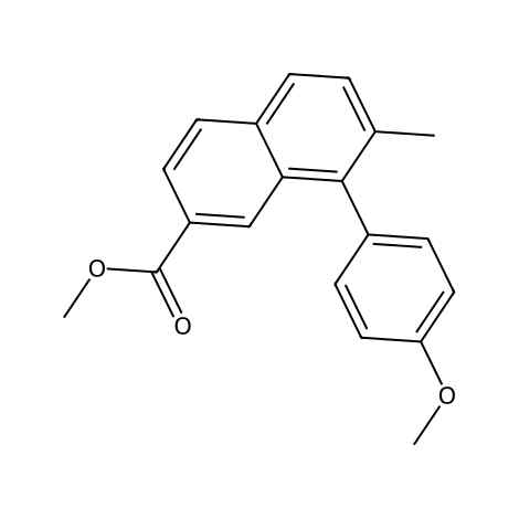 COC(=O)c1ccc2ccc(C)c(-c3ccc(OC)cc3)c2c1